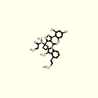 C=CC(=O)N(C)C1(c2onc(-c3c(Cl)cc(Cl)cc3Cl)c2C(=O)n2cc(C)c3c(/C=C/C(=O)O)cccc32)CCC1